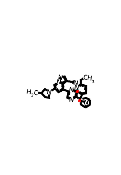 CCc1ccc(CN2C3CC2CN(c2cnc(-c4cc(N5CCC(C)C5)cn5ncc(C#N)c45)cn2)C3)cn1